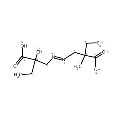 CCC(C)(C/N=N/CC(C)(CC)C(=O)O)C(=O)O